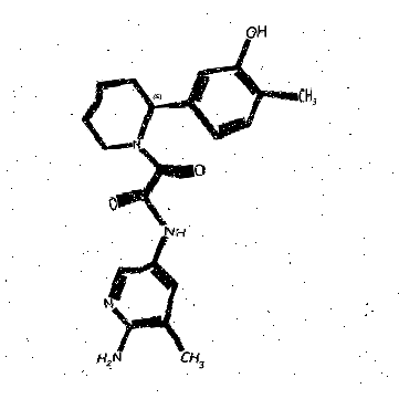 Cc1ccc([C@@H]2CCCCN2C(=O)C(=O)Nc2cnc(N)c(C)c2)cc1O